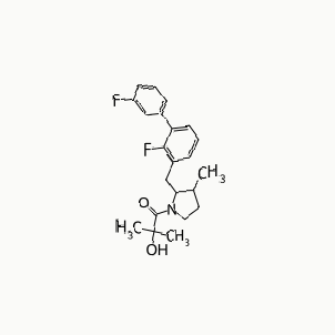 CC1CCN(C(=O)C(C)(C)O)C1Cc1cccc(-c2cccc(F)c2)c1F